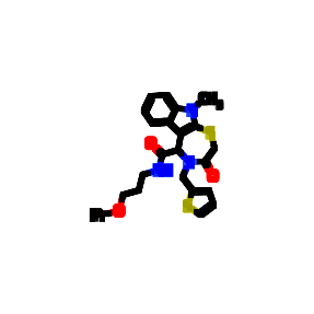 CC(C)OCCCNC(=O)C1c2c(n(C)c3ccccc23)SCC(=O)N1Cc1cccs1